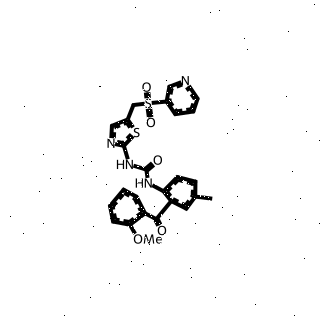 COc1ccccc1C(=O)c1cc(C)ccc1NC(=O)Nc1ncc(CS(=O)(=O)c2cccnc2)s1